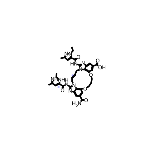 CCN/C(=C\C(C)=N)C(=O)Nc1nc2cc(C(N)=O)cc3c2n1C/C=C/Cn1c(NC(=O)c2cc(C)nn2CC)nc2cc(C(=O)O)cc(c21)OCCCO3